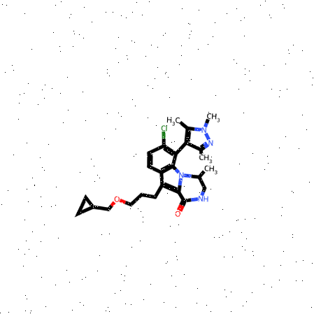 Cc1nn(C)c(C)c1-c1c(Cl)ccc2c(CCCOCC3CC3)c3n(c12)C(C)CNC3=O